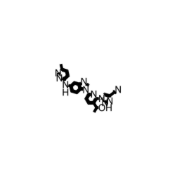 Cc1ccc(Nc2ccc3c(c2)ncn3-c2ccc(C(C)O)c(-n3cc(C#N)nn3)n2)nn1